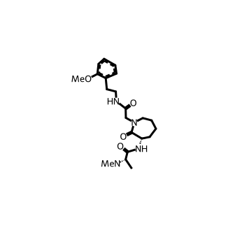 CN[C@@H](C)C(=O)N[C@H]1CCCCN(CC(=O)NCCc2ccccc2OC)C1=O